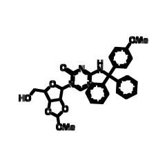 COc1ccc(C(Nc2ncn(C3OC(CO)C4OC(OC)OC43)c(=O)n2)(c2ccccc2)c2ccccc2)cc1